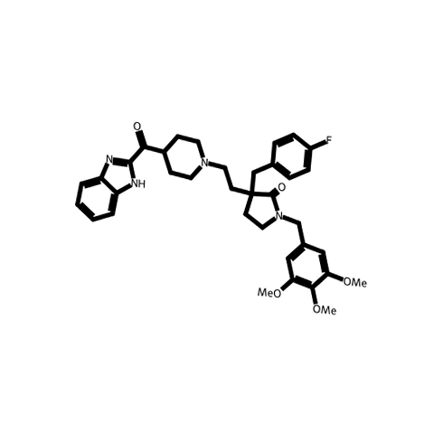 COc1cc(CN2CCC(CCN3CCC(C(=O)c4nc5ccccc5[nH]4)CC3)(Cc3ccc(F)cc3)C2=O)cc(OC)c1OC